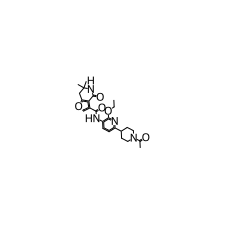 CCOc1nc(C2CCN(C(C)=O)CC2)ccc1NC(=O)c1coc2c1C(=O)NC(C)(C)C2